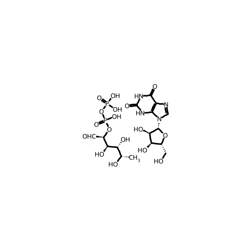 C[C@H](O)[C@@H](O)[C@@H](O)[C@@H](C=O)OP(=O)(O)OP(=O)(O)O.O=c1[nH]c(=O)c2ncn([C@@H]3O[C@H](CO)[C@@H](O)[C@H]3O)c2[nH]1